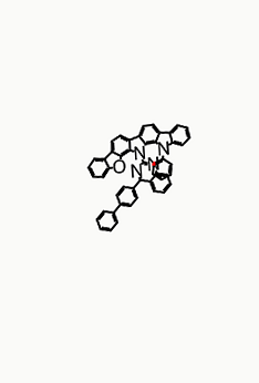 c1ccc(-c2ccc(-c3nc(-n4c5c(ccc6c7ccccc7oc65)c5ccc6c7ccccc7n(-c7ccccc7)c6c54)nc4ccccc34)cc2)cc1